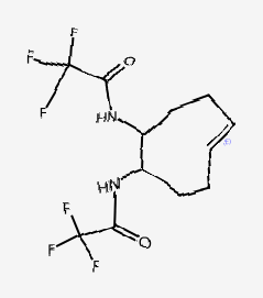 O=C(NC1CC/C=C/CCC1NC(=O)C(F)(F)F)C(F)(F)F